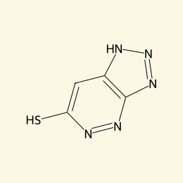 Sc1cc2[nH]nnc2nn1